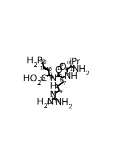 CC(C)C(N)C(=O)N[C@@H](CCCN=C(N)N)C(=O)NC(C=CCP)C(=O)O